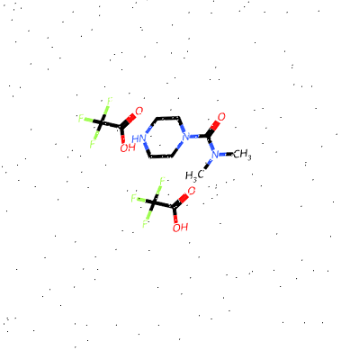 CN(C)C(=O)N1CCNCC1.O=C(O)C(F)(F)F.O=C(O)C(F)(F)F